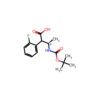 C[C@@H](NC(=O)OC(C)(C)C)C(C(=O)O)c1ccccc1F